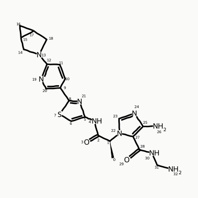 C[C@@H](C(=O)Nc1csc(-c2ccc(N3CC4CC4C3)nc2)n1)n1cnc(N)c1C(=O)NCN